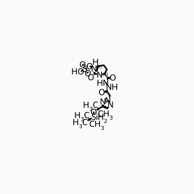 CC(C)(C)[SiH2]OC(C)(C)c1cnn(CC(=O)NNC(=O)[C@@H]2CC[C@@H]3CN2C(=O)N3OS(=O)(=O)O)n1